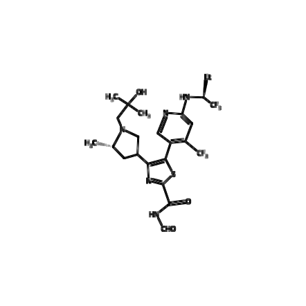 CC[C@H](Nc1cc(C(F)(F)F)c(-c2sc(C(=O)NC=O)nc2C2C[C@H](C)N(CC(C)(C)O)C2)cn1)C(F)(F)F